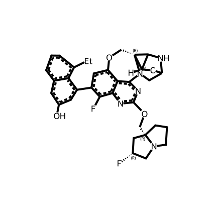 CCc1cccc2cc(O)cc(-c3cc4c5c(nc(OC[C@]67CCCN6C[C@H](F)C7)nc5c3F)N3CC5C[C@H]6C(N5)[C@@]63CO4)c12